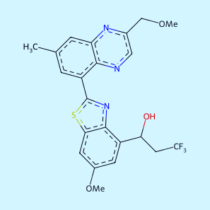 COCc1cnc2c(-c3nc4c(C(O)CC(F)(F)F)cc(OC)cc4s3)cc(C)cc2n1